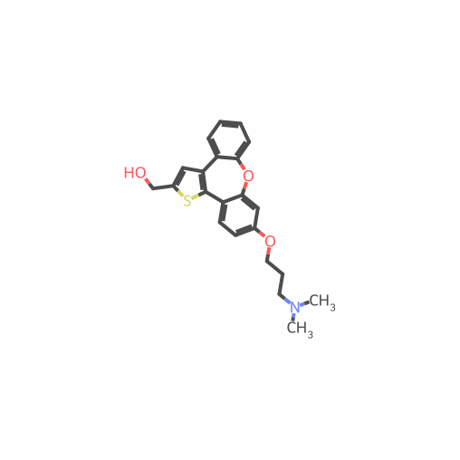 CN(C)CCCOc1ccc2c(c1)Oc1ccccc1-c1cc(CO)sc1-2